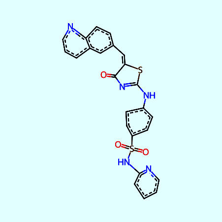 O=C1N=C(Nc2ccc(S(=O)(=O)Nc3ccccn3)cc2)SC1=Cc1ccc2ncccc2c1